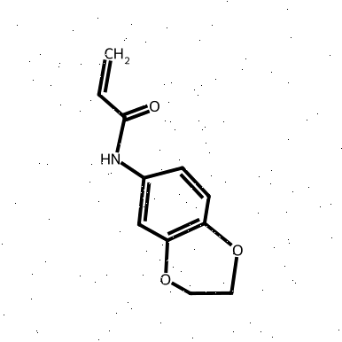 C=CC(=O)Nc1ccc2c(c1)OCCO2